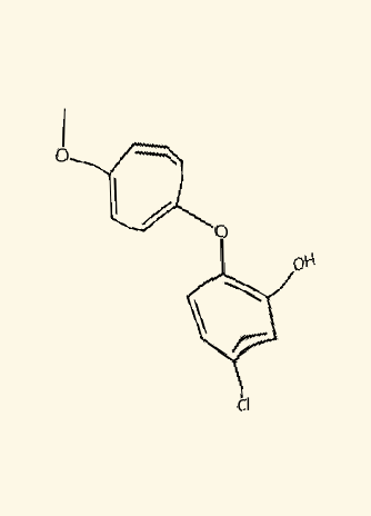 COc1ccc(Oc2ccc(Cl)cc2O)cc1